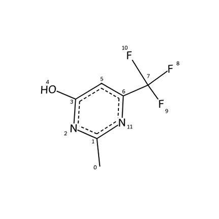 Cc1nc(O)cc(C(F)(F)F)n1